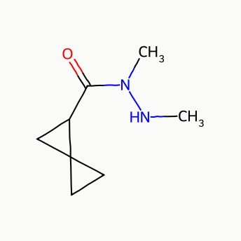 CNN(C)C(=O)C1CC12CC2